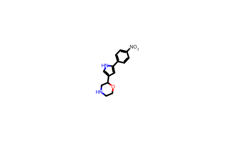 O=[N+]([O-])c1ccc(-c2cc(C3CNCCO3)c[nH]2)cc1